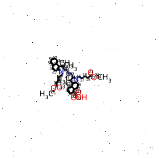 CCOC(=O)CCCCN1/C(=C\C=C\C2=[N+](CCCCC(=O)OCC)c3ccc4c(S(=O)(=O)O)cccc4c3C2(C)C)C(C)(C)c2c1ccc1ccccc21